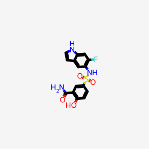 NC(=O)c1cc(S(=O)(=O)Nc2cc3cc[nH]c3cc2F)ccc1O